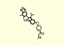 Cc1c(-c2[nH]c3ccc(OC4CCN(C(=O)CN(C)C)CC4)cc3c2C(C)C)cn2cnnc2c1C